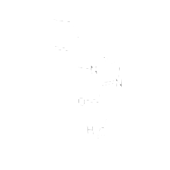 CCC(=O)c1nccn1Cc1ccccc1